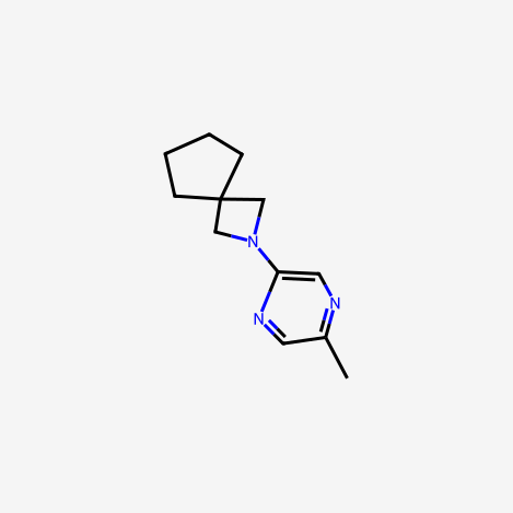 Cc1cnc(N2CC3(CCCC3)C2)cn1